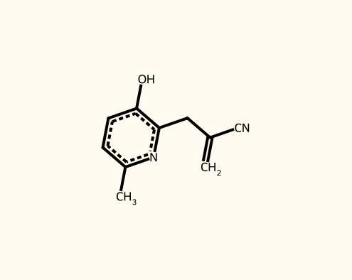 C=C(C#N)Cc1nc(C)ccc1O